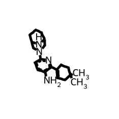 CC1(C)CC=C(c2nc(N3CC4CCCC(C3)N4)ccc2N)CC1